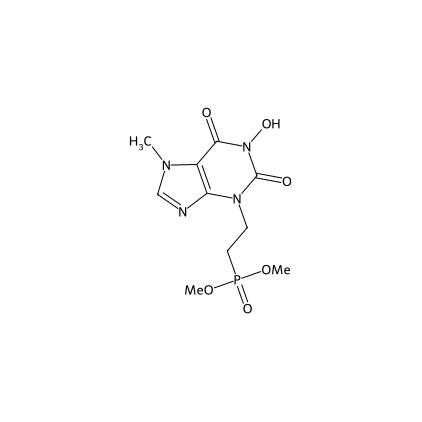 COP(=O)(CCn1c(=O)n(O)c(=O)c2c1ncn2C)OC